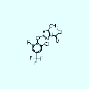 Cc1cc(Oc2c(F)cc(C(F)(F)F)cc2Cl)nn1C(=O)Cl